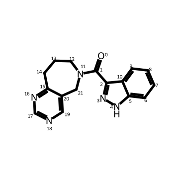 O=C(c1n[nH]c2ccccc12)N1CCCc2ncncc2C1